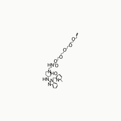 C#CCOCCOCCOCCOCCOC(=O)NCCN1CCC(Nc2nc3ccccc3n2Cc2nc(C)ccc2O)CC1